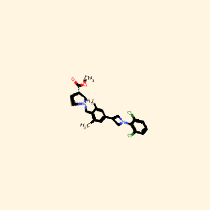 COC(=O)[C@H]1CCN(Cc2c(C)cc(C3CN(c4c(Cl)cccc4Cl)C3)cc2C)C1